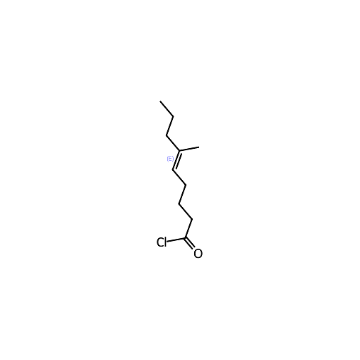 CCC/C(C)=C/CCCC(=O)Cl